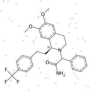 COc1cc2c(cc1OC)[C@H](CCc1ccc(C(F)(F)F)cc1)N(C(C(N)=O)c1ccccc1)CC2